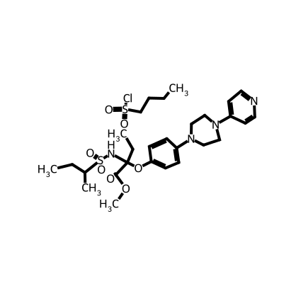 CCC(C)S(=O)(=O)NC(CC)(Oc1ccc(N2CCN(c3ccncc3)CC2)cc1)C(=O)OC.CCCCS(=O)(=O)Cl